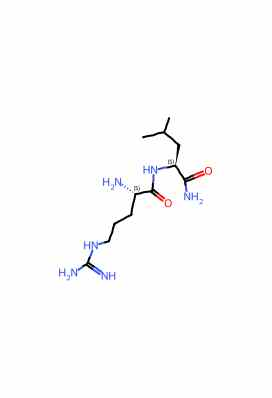 CC(C)C[C@H](NC(=O)[C@@H](N)CCCNC(=N)N)C(N)=O